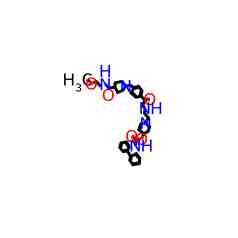 COCCNC(=O)C1CCN(Cc2ccc(C(=O)CNCCN3CCC(OC(=O)Nc4ccccc4-c4ccccc4)CC3)cc2)CC1